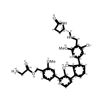 COc1cc(-c2nccc(-c3cccc(-c4cc(Cl)c(CNC[C@@H]5CCC(=O)N5)c(OC)n4)c3Cl)c2Cl)ccc1COC(=O)CN